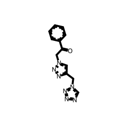 O=C(Cn1cc(Cn2cnnn2)nn1)c1ccccc1